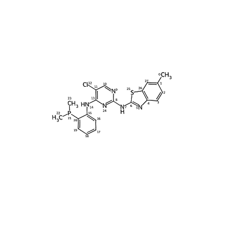 Cc1ccc2nc(Nc3ncc(Cl)c(Nc4ccccc4P(C)C)n3)sc2c1